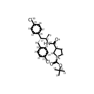 C[C@@H](NC(=O)C1CCN(C(=O)OC(C)(C)C)C1)[C@H](Cc1ccc(Cl)cc1)c1ccc(Cl)cc1